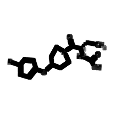 CC[C@H](NC(=O)O)C(=O)N1CCC(Oc2ccc(F)cc2)CC1